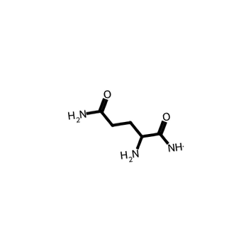 [NH]C(=O)C(N)CCC(N)=O